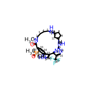 CN1CCCCN[C@H]2CC[C@@H](C2)Nc2ncc(C(F)(F)F)c(n2)-c2c[nH]c3c(P(C)(C)=O)c(ccc23)C1=O